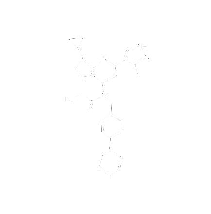 Cc1n[nH]cc1-c1cc(N(Cc2ccc(-c3ccccn3)cc2)C(=O)OC(C)(C)C)n2ncc(C3CC3)c2n1